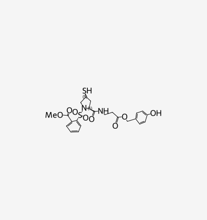 COC(=O)c1ccccc1S(=O)(=O)N1C[C@@H](S)C[C@H]1C(=O)NCCC(=O)OCc1ccc(O)cc1